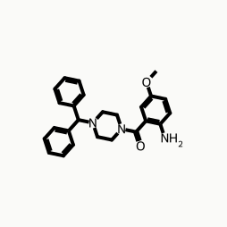 COc1ccc(N)c(C(=O)N2CCN(C(c3ccccc3)c3ccccc3)CC2)c1